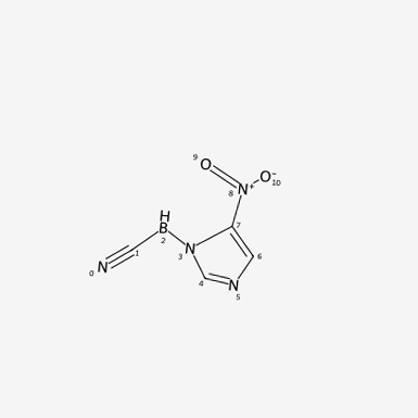 N#CBn1cncc1[N+](=O)[O-]